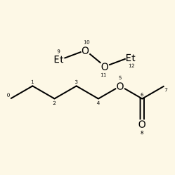 CCCCCOC(C)=O.CCOOCC